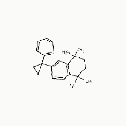 CC1(C)CCC(C)(C)c2cc(C3(c4ccccc4)CC3)ccc21